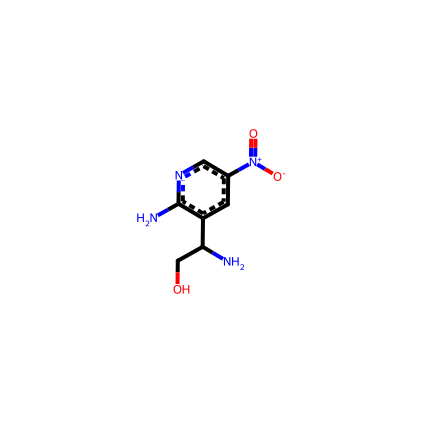 Nc1ncc([N+](=O)[O-])cc1C(N)CO